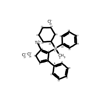 C[Si](C1=[C]([Ti+3])CC=C1c1ccccc1)(c1ccccc1)C1CCCCC1.[Cl-].[Cl-].[Cl-]